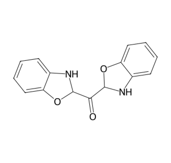 O=C(C1Nc2ccccc2O1)C1Nc2ccccc2O1